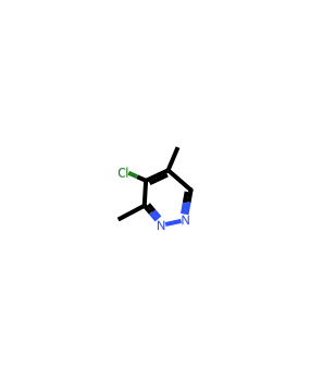 Cc1cnnc(C)c1Cl